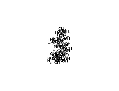 CC(=O)NC1[C@H](OC2C(O)[C@H](O)C(CO)O[C@@H]2O[C@@H]2C(O)[C@H](O[C@@H]3C(CO)O[C@@H](O[C@@H]4C(CO)O[C@@H](C)C(NC(C)=O)[C@H]4O)C(NC(C)=O)[C@H]3O)OC(CO[C@H]3OC(CO)[C@@H](O)[C@H](O)C3O)[C@H]2O)OC(CO)[C@@H](O[C@@H]2OC(CO[C@]3(OC=O)C[C@@H](O)[C@@H](C)C([C@H](O)[C@H](O)CO)O3)[C@H](O)[C@H](O)C2O)[C@@H]1O